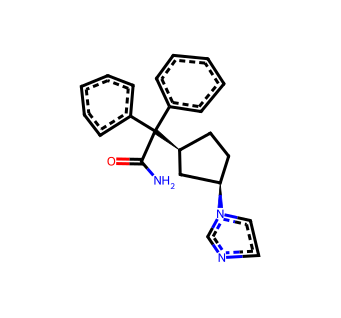 NC(=O)C(c1ccccc1)(c1ccccc1)[C@H]1CC[C@@H](n2ccnc2)C1